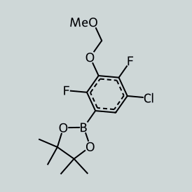 COCOc1c(F)c(Cl)cc(B2OC(C)(C)C(C)(C)O2)c1F